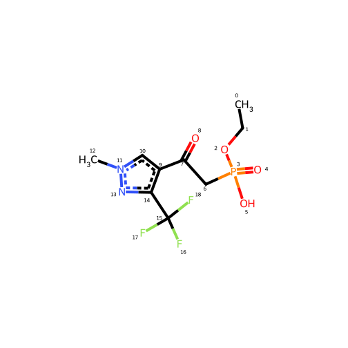 CCOP(=O)(O)CC(=O)c1cn(C)nc1C(F)(F)F